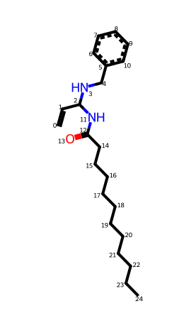 C=CC(NCc1ccccc1)NC(=O)CCCCCCCCCCC